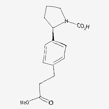 COC(=O)CCc1ccc([C@H]2CCCN2C(=O)O)cc1